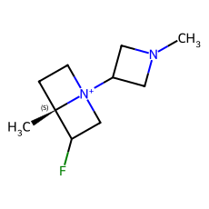 CN1CC([N+]23CC[C@@]2(C)C(F)C3)C1